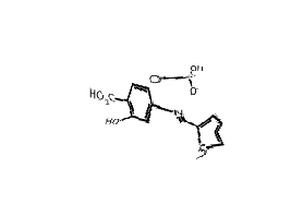 O=C(O)c1ccc(N=Cc2cccs2)cc1O.[O-][I+2]([O-])O